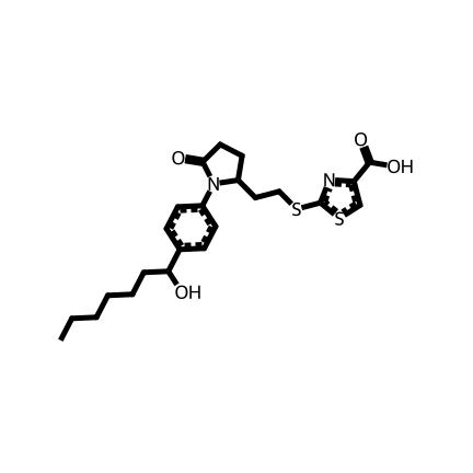 CCCCCCC(O)c1ccc(N2C(=O)CCC2CCSc2nc(C(=O)O)cs2)cc1